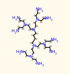 NCCN(CCN)CCN(CCCCN(CCN(CCN)CCN)CCN(CCN)CCN)CCN(CCN)CCN